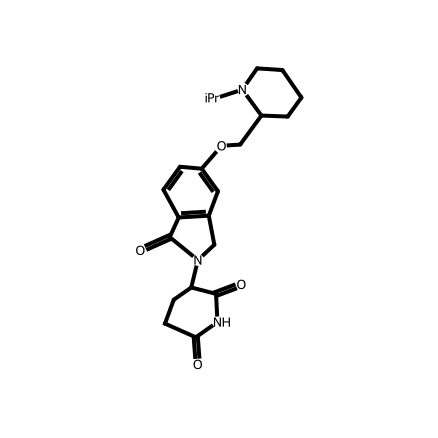 CC(C)N1CCCCC1COc1ccc2c(c1)CN(C1CCC(=O)NC1=O)C2=O